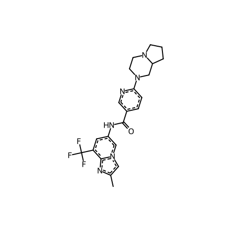 Cc1cn2cc(NC(=O)c3ccc(N4CCN5CCCC5C4)nc3)cc(C(F)(F)F)c2n1